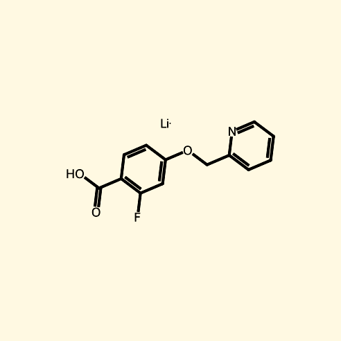 O=C(O)c1ccc(OCc2ccccn2)cc1F.[Li]